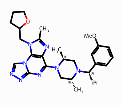 COc1cccc([C@@H](C(C)C)N2C[C@H](C)N(c3nc4nncn4c4c3nc(C)n4CC3CCCO3)C[C@H]2C)c1